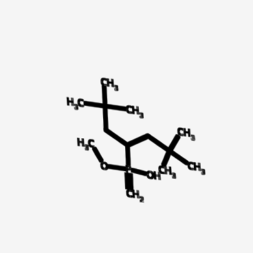 C=P(O)(OC)C(CC(C)(C)C)CC(C)(C)C